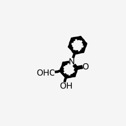 O=Cc1cn(-c2ccccc2)c(=O)cc1O